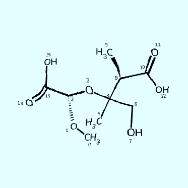 CO[C@@H](OC(C)(CO)[C@@H](C)C(=O)O)C(=O)O